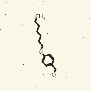 CCCCCCCOc1ccc(C[O])cc1